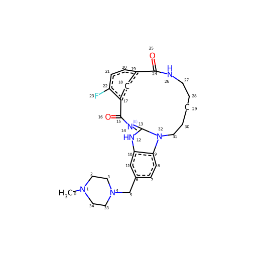 CN1CCN(Cc2ccc3c(c2)N/C2=N\C(=O)c4cc(ccc4F)C(=O)NCCCCCN23)CC1